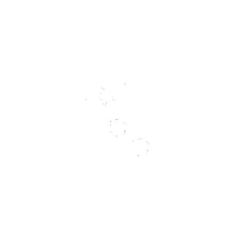 CC(C)(C)c1nc(C(C)(C)C)n(Cc2ccc(-c3ccccc3C(=O)O)cc2)n1